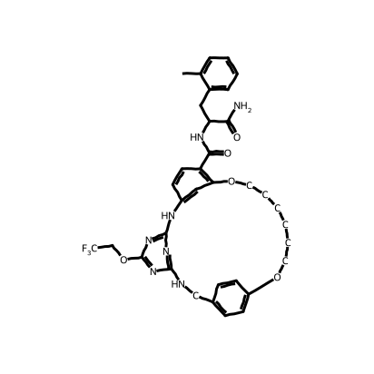 Cc1ccccc1CC(NC(=O)c1ccc2cc1OCCCCCCOc1ccc(cc1)CNc1nc(nc(OCC(F)(F)F)n1)N2)C(N)=O